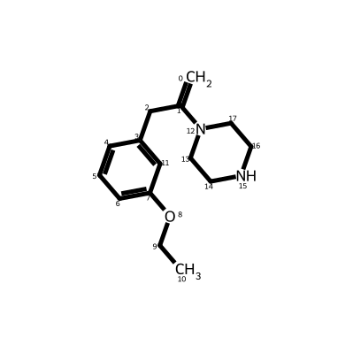 C=C(Cc1cccc(OCC)c1)N1CCNCC1